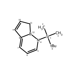 CC(C)(C)[Si](C)(C)N1C=CC=C2C=CCB21